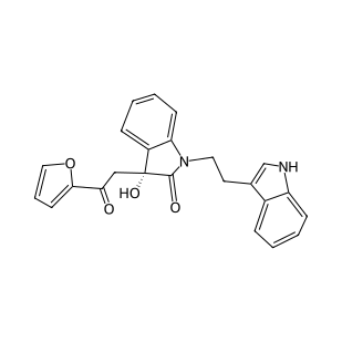 O=C(C[C@]1(O)C(=O)N(CCc2c[nH]c3ccccc23)c2ccccc21)c1ccco1